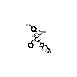 CC[C@@H](C)CN(C[C@@H](O)[C@H](Cc1ccccc1)NC(=O)[C@@H]1CN(Cc2cncs2)C(=O)O1)S(=O)(=O)c1ccc(N)cc1